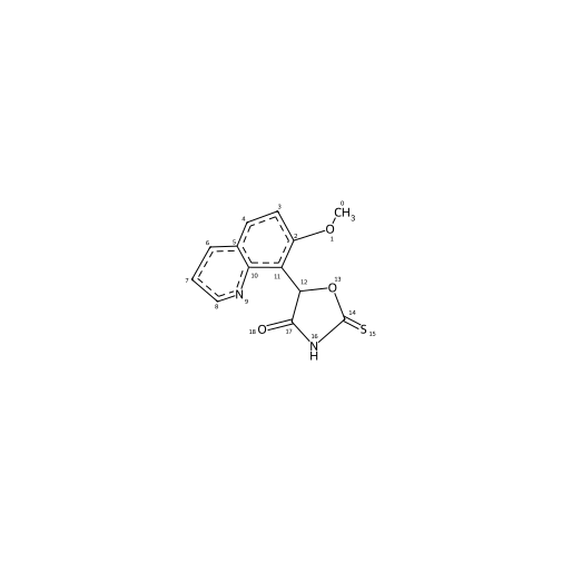 COc1ccc2cccnc2c1C1OC(=S)NC1=O